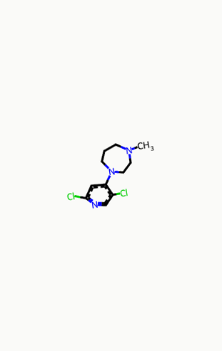 CN1CCCN(c2cc(Cl)ncc2Cl)CC1